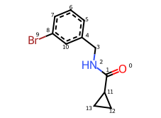 O=C(NCc1cccc(Br)c1)C1CC1